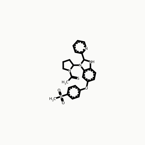 CC(=S)N1CCCC1N1c2cc(Oc3ccc(S(C)(=O)=O)cc3)ccc2NC1c1ccccn1